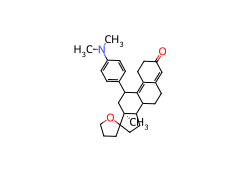 CN(C)c1ccc(C2C[C@@]3(C)C(CCC34CCCO4)C3CCC4=CC(=O)CCC4=C23)cc1